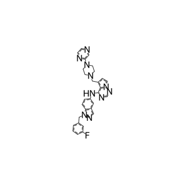 Fc1cccc(Cn2ncc3cc(Nc4ncnn5ccc(CN6CCN(c7cnccn7)CC6)c45)ccc32)c1